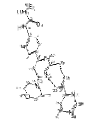 CCNC(=O)Nc1ccc(-c2nc3c(c(N4CCOCC4C)n2)CN(c2cc(C)ncn2)CC3)cc1